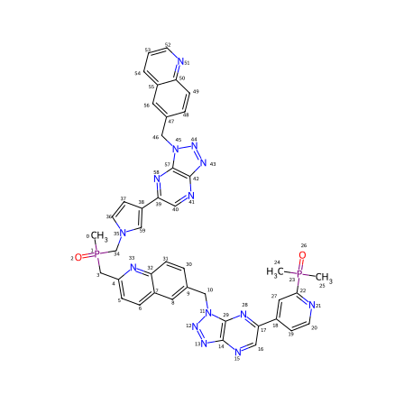 CP(=O)(Cc1ccc2cc(Cn3nnc4ncc(-c5ccnc(P(C)(C)=O)c5)nc43)ccc2n1)Cn1ccc(-c2cnc3nnn(Cc4ccc5ncccc5c4)c3n2)c1